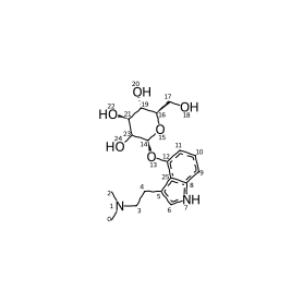 CN(C)CCc1c[nH]c2cccc(O[C@@H]3O[C@H](CO)[C@@H](O)[C@H](O)C3O)c12